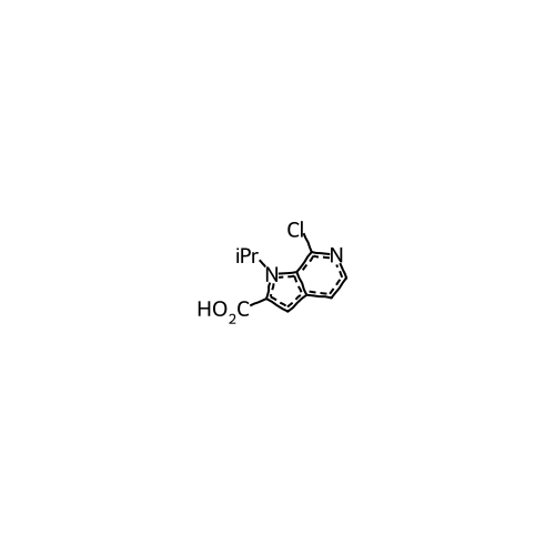 CC(C)n1c(C(=O)O)cc2ccnc(Cl)c21